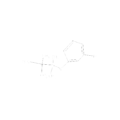 CC(C)(C)[Si](C)(C)Oc1[c]ccc(Br)c1